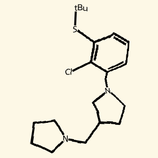 CC(C)(C)Sc1cccc(N2CCC(CN3CCCC3)C2)c1Cl